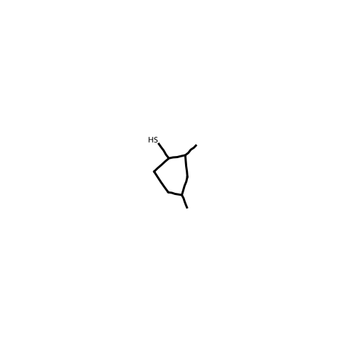 CC1CCC(S)C(C)C1